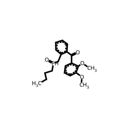 CCCC[PH](=O)Cc1ccccc1C(=O)c1cccc(OC)c1OC